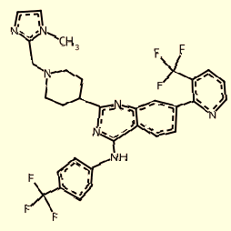 Cn1ccnc1CN1CCC(c2nc(Nc3ccc(C(F)(F)F)cc3)c3ccc(-c4ncccc4C(F)(F)F)cc3n2)CC1